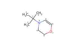 CC(C)(C)N1C=COCC1